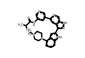 CC(C)C(=O)Nc1cncc(-c2cc3c(-c4cc5c(N6CCN(C)CC6)cccc5[nH]4)n[nH]c3cn2)c1